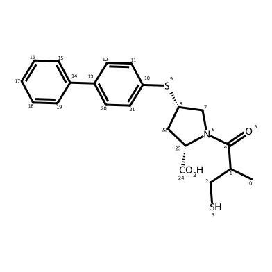 CC(CS)C(=O)N1C[C@@H](Sc2ccc(-c3ccccc3)cc2)C[C@H]1C(=O)O